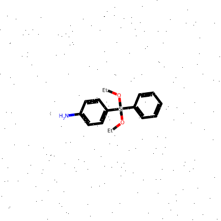 CCO[Si](OCC)(c1ccccc1)c1ccc(N)cc1